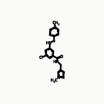 Cc1ccc(SNc2cc(Cl)cc(C(=O)NCc3cnn(C)c3)c2)cc1